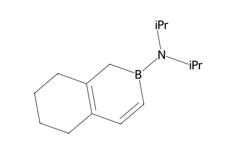 CC(C)N(B1C=CC2=C(CCCC2)C1)C(C)C